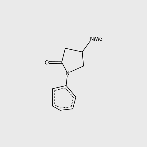 CNC1CC(=O)N(c2ccccc2)C1